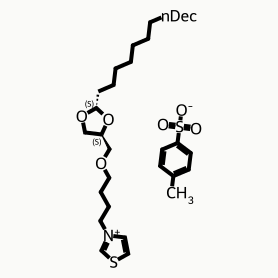 CCCCCCCCCCCCCCCCC[C@H]1OC[C@H](COCCCC[n+]2ccsc2)O1.Cc1ccc(S(=O)(=O)[O-])cc1